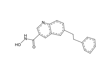 O=C(NO)c1cnc2ccc(CCc3ccccc3)cc2c1